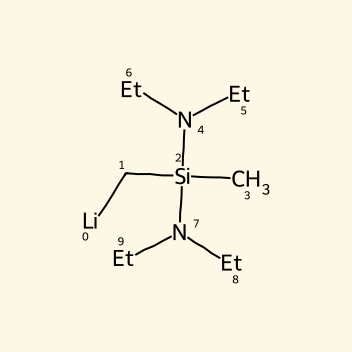 [Li][CH2][Si](C)(N(CC)CC)N(CC)CC